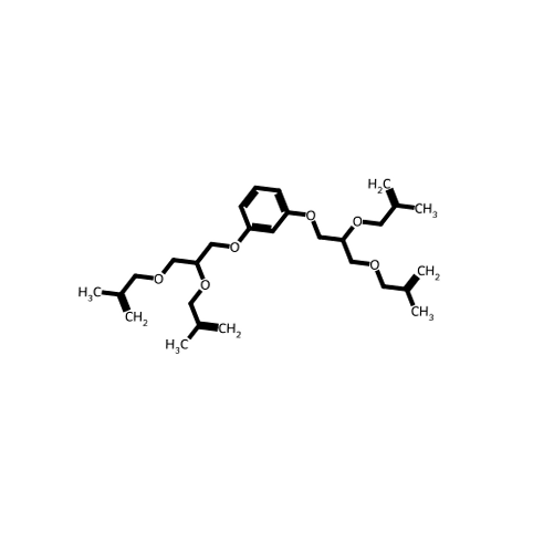 C=C(C)COCC(COc1cccc(OCC(COCC(=C)C)OCC(=C)C)c1)OCC(=C)C